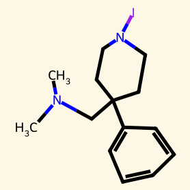 CN(C)CC1(c2ccccc2)CCN(I)CC1